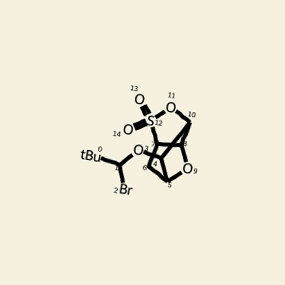 CC(C)(C)C(Br)OC1C2CC3C(O2)C1OS3(=O)=O